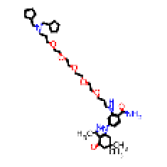 Cc1nn(-c2ccc(C(N)=O)c(NCCCOCCOCCOCCOCCOCCCN(CC3CCCC3)CC3CCCC3)c2)c2c1C(=O)CC(C)(C)C2